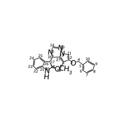 Cc1c(OCc2ccccc2)cn2ncnc(C3C(=O)Nc4ccccc43)c12